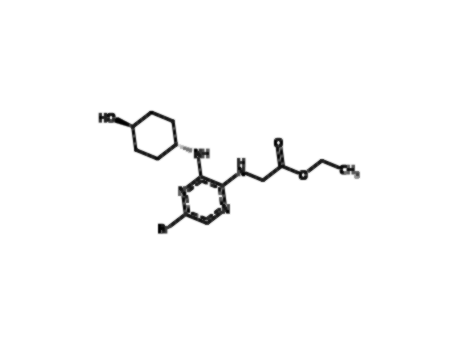 CCOC(=O)CNc1ncc(Br)nc1N[C@H]1CC[C@H](O)CC1